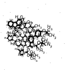 CCOC(=O)[C@H](CC(C)C)NC(=O)[C@@H](C)NC(=O)[C@H](Cc1ccc(OC(C)(C)C)cc1)NC(=O)[C@H](COC(C)(C)C)NC(=O)[C@H](Cc1cn(C(=O)OC(C)(C)C)c2ccccc12)NC(=O)[C@H](Cc1cn(C(=O)OC(C)(C)C)cn1)NC(=O)[C@@H]1CCC(=O)N1C(=O)OCC1c2ccccc2-c2ccccc21